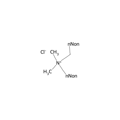 CCCCCCCCCC[N+](C)(C)CCCCCCCCC.[Cl-]